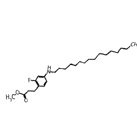 CCCCCCCCCCCCCCCCNc1ccc(CCC(=O)OC)c(F)c1